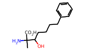 CC(N)(C(=O)O)C(O)CCCCc1ccccc1